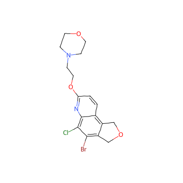 Clc1c(Br)c2c(c3ccc(OCCN4CCOCC4)nc13)COC2